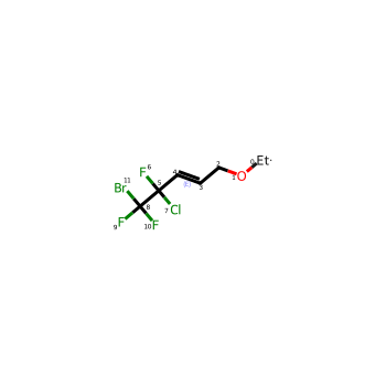 C[CH]OC/C=C/C(F)(Cl)C(F)(F)Br